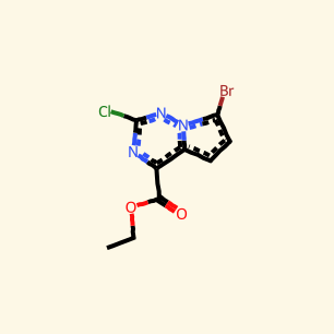 CCOC(=O)c1nc(Cl)nn2c(Br)ccc12